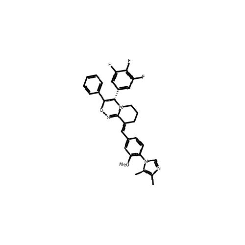 COc1cc(/C=C2\CCCN3C2=NOC(c2ccccc2)[C@@H]3c2cc(F)c(F)c(F)c2)ccc1-n1cnc(C)c1C